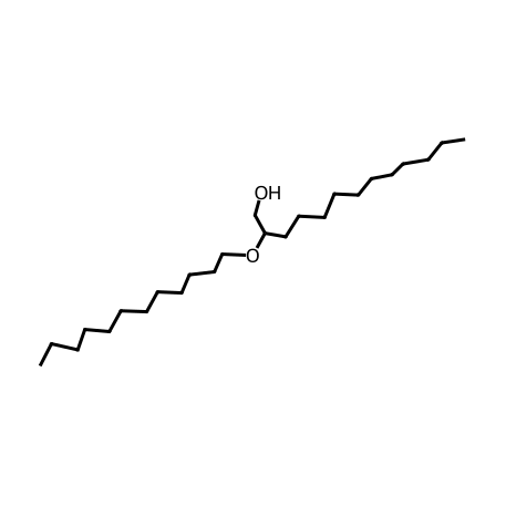 CCCCCCCCCCCCOC(CO)CCCCCCCCCCC